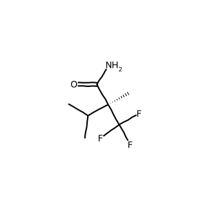 CC(C)[C@@](C)(C(N)=O)C(F)(F)F